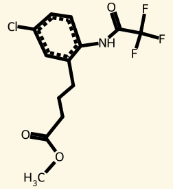 COC(=O)CCCc1cc(Cl)ccc1NC(=O)C(F)(F)F